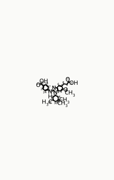 COc1cc2c(cc1CCC(=O)O)nc(Nc1ccc(C(=O)O)cc1)n2[C@@H]1C[C@@H](C)CC(C)(C)C1